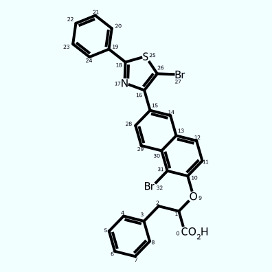 O=C(O)C(Cc1ccccc1)Oc1ccc2cc(-c3nc(-c4ccccc4)sc3Br)ccc2c1Br